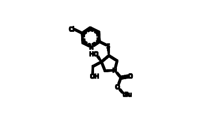 CC(C)(C)OC(=O)N1C[C@H](Sc2ccc(Cl)cn2)[C@@](O)(CO)C1